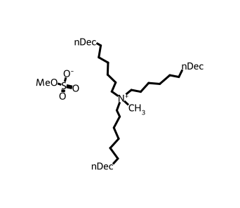 CCCCCCCCCCCCCCCC[N+](C)(CCCCCCCCCCCCCCCC)CCCCCCCCCCCCCCCC.COS(=O)(=O)[O-]